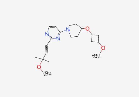 CC(C)(C)OC1CC(OC2CCN(c3ccnc(C#CC(C)(C)OC(C)(C)C)n3)CC2)C1